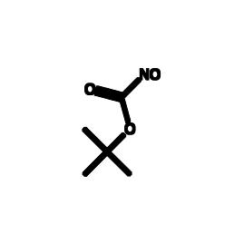 CC(C)(C)OC(=O)N=O